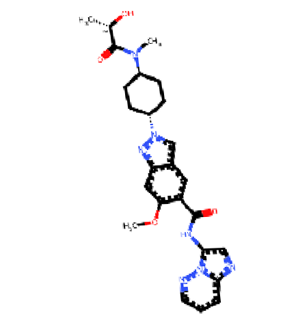 COc1cc2nn([C@H]3CC[C@H](N(C)C(=O)[C@H](C)O)CC3)cc2cc1C(=O)Nc1cnc2cccnn12